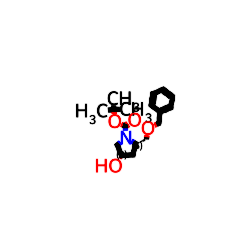 CC(C)(C)OC(=O)N1C[C@H](O)C[C@H]1COCc1ccccc1